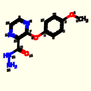 COc1ccc(Oc2nccnc2C(=O)NN)cc1